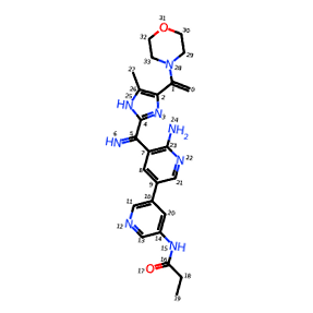 C=C(c1nc(C(=N)c2cc(-c3cncc(NC(=O)CC)c3)cnc2N)[nH]c1C)N1CCOCC1